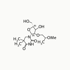 COC(C)COC1C(O)[C@@H](CO)O[C@H]1N1CC(C)(C)C(=O)NC1=O